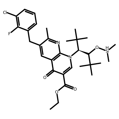 CCOC(=O)c1cn([C@H](C(O[SiH](C)C)C(C)(C)C)C(C)(C)C)c2nc(C)c(Cc3cccc(Cl)c3F)cc2c1=O